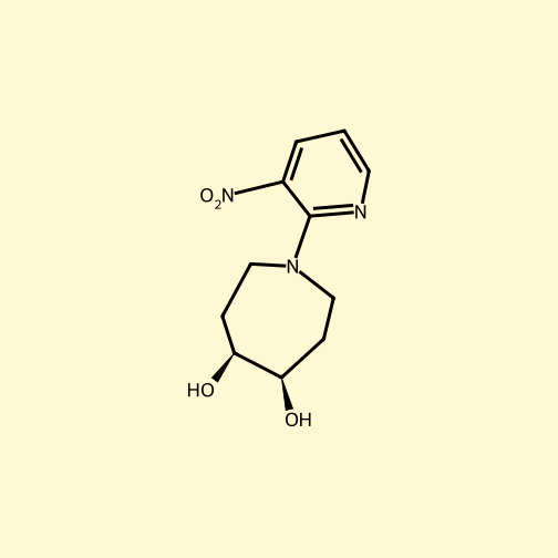 O=[N+]([O-])c1cccnc1N1CC[C@@H](O)[C@@H](O)CC1